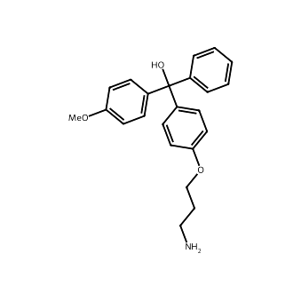 COc1ccc(C(O)(c2ccccc2)c2ccc(OCCCN)cc2)cc1